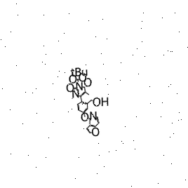 Cc1c(-c2ccc(Oc3nccc4occc34)cc2CO)n(C)c(=O)n(C(=O)OC(C)(C)C)c1=O